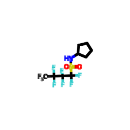 O=S(=O)(NC1CCCC1)C(F)(F)C(F)(F)C(F)(F)C(F)(F)F